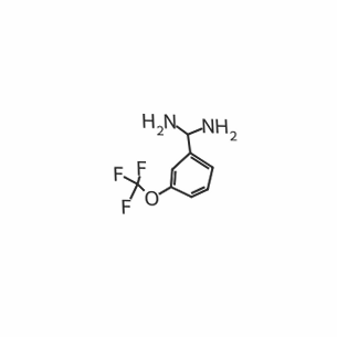 NC(N)c1cccc(OC(F)(F)F)c1